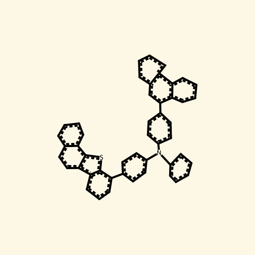 c1ccc(N(c2ccc(-c3cc4ccccc4c4ccccc34)cc2)c2ccc(-c3cccc4c3sc3c5ccccc5ccc43)cc2)cc1